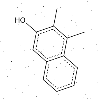 Cc1c(O)[c]c2ccccc2c1C